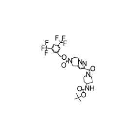 CC(C)(C)OC(=O)NC1CCN(C(=O)c2cc3n(n2)CCN(C(=O)OCc2cc(C(F)(F)F)cc(C(F)(F)F)c2)C3)CC1